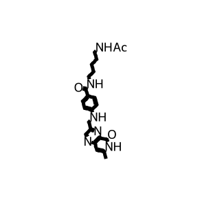 CC(=O)NCCCCCNC(=O)c1ccc(NCc2cnc3cc(C)[nH]c(=O)c3n2)cc1